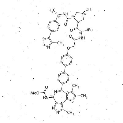 COC(=O)N[C@H]1N=C(c2ccc(-c3ccc(OCC(=O)N[C@H](C(=O)N4C[C@H](O)C[C@H]4C(=O)N[C@@H](C)c4ccc(-c5scnc5C)cc4)C(C)(C)C)cc3)cc2)c2c(sc(C)c2C)-n2c(C)nnc21